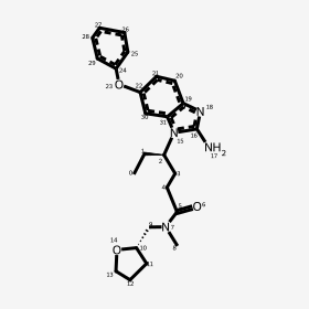 CC[C@H](CCC(=O)N(C)C[C@@H]1CCCO1)n1c(N)nc2ccc(Oc3ccccc3)cc21